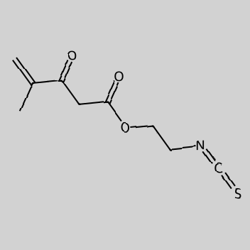 C=C(C)C(=O)CC(=O)OCCN=C=S